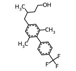 Cc1cc(CC(C)CCO)cc(C)c1-c1ccc(C(F)(F)F)cc1